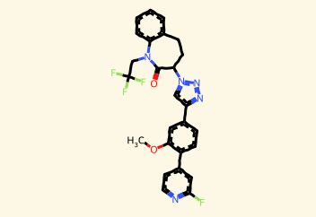 COc1cc(-c2cn(C3CCc4ccccc4N(CC(F)(F)F)C3=O)nn2)ccc1-c1ccnc(F)c1